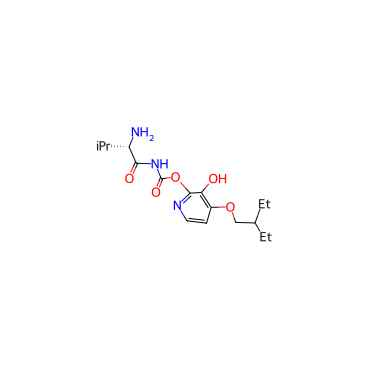 CCC(CC)COc1ccnc(OC(=O)NC(=O)[C@@H](N)C(C)C)c1O